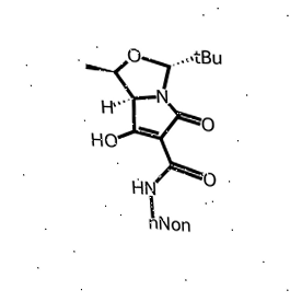 CCCCCCCCCNC(=O)C1=C(O)[C@H]2[C@@H](C)O[C@H](C(C)(C)C)N2C1=O